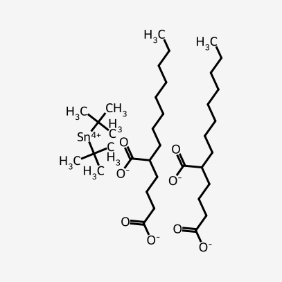 CCCCCCCCC(CCCC(=O)[O-])C(=O)[O-].CCCCCCCCC(CCCC(=O)[O-])C(=O)[O-].C[C](C)(C)[Sn+4][C](C)(C)C